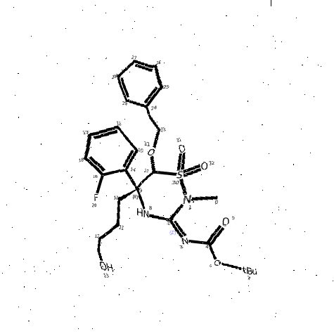 CN1/C(=N\C(=O)OC(C)(C)C)N[C@](CCCO)(c2ccccc2F)C(OCc2ccccc2)S1(=O)=O